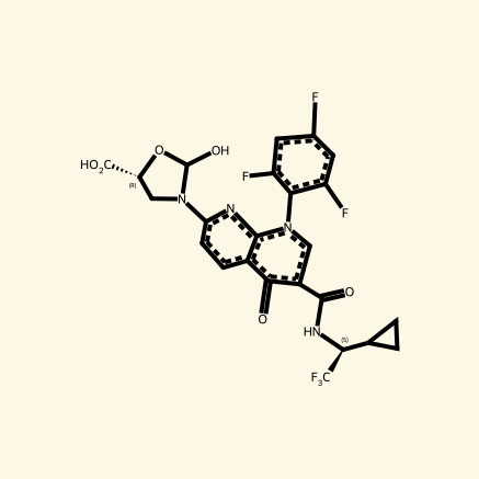 O=C(N[C@@H](C1CC1)C(F)(F)F)c1cn(-c2c(F)cc(F)cc2F)c2nc(N3C[C@H](C(=O)O)OC3O)ccc2c1=O